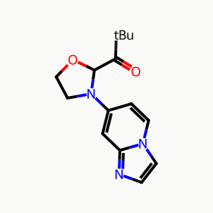 CC(C)(C)C(=O)C1OCCN1c1ccn2ccnc2c1